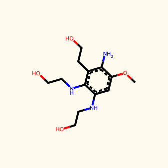 COc1cc(NCCO)c(NCCO)c(CCO)c1N